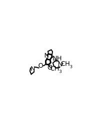 COc1cc2c(N[C@H]3CCCCN(C)C3)c3c(nc2cc1COCCN1CCCC1)CCC3